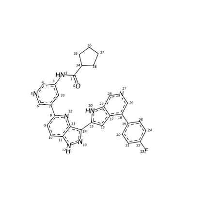 O=C(Nc1cncc(-c2ccc3[nH]nc(-c4cc5c(-c6ccc(F)cc6)cncc5[nH]4)c3n2)c1)C1CCCC1